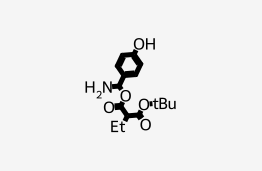 CCC(C(=O)OC(N)c1ccc(O)cc1)C(=O)OC(C)(C)C